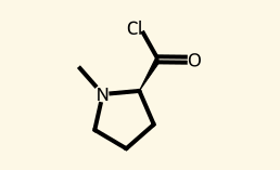 CN1CCC[C@@H]1C(=O)Cl